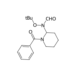 CC(C)(C)ON(C=O)C1CCCCN1C(=O)c1ccccc1